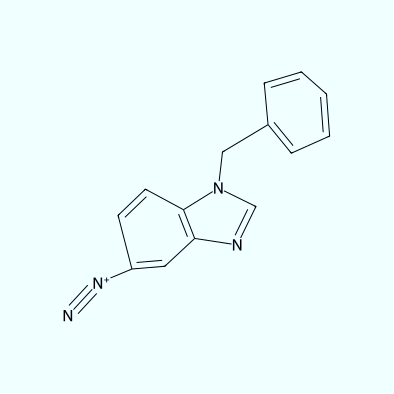 N#[N+]c1ccc2c(c1)ncn2Cc1ccccc1